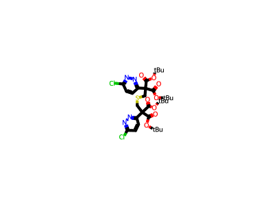 CC(C)(C)OC(=O)C(CSCC(C(=O)OC(C)(C)C)(C(=O)OC(C)(C)C)c1ccc(Cl)nn1)(C(=O)OC(C)(C)C)c1ccc(Cl)nn1